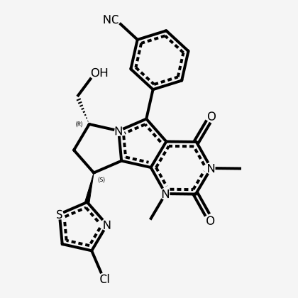 Cn1c(=O)c2c(-c3cccc(C#N)c3)n3c(c2n(C)c1=O)[C@@H](c1nc(Cl)cs1)C[C@@H]3CO